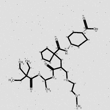 CCC(CC)(CC)C(=O)OC(C)OC(=O)C(COCCOC)CC1(C(=O)N[C@H]2CC[C@@H](C(=O)O)CC2)CCCC1